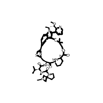 CCn1c(-c2cccnc2[C@H](C)OC)c2c3cc(ccc31)-c1csc(n1)C[C@H](NC(=O)[C@H](C(C)C)N(C)C(=O)N1CCCC13CN(C)C3)C(=O)N1CCC[C@H](N1)C(=O)OCC(C)(C)C2